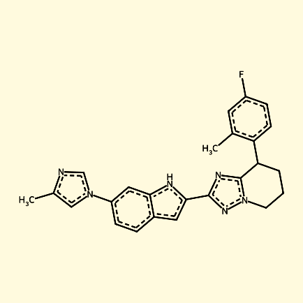 Cc1cn(-c2ccc3cc(-c4nc5n(n4)CCCC5c4ccc(F)cc4C)[nH]c3c2)cn1